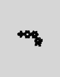 CC1(C)OB(c2cccc(N3CCN(C4COC4)CC3)c2)OC1(C)C